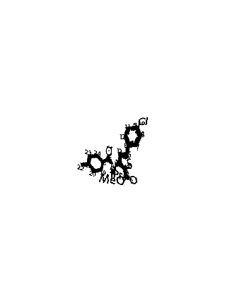 COC(=O)c1sc(-c2ccc(Cl)cc2)cc1N(C(=O)C1CCC(C)CC1)C(C)C